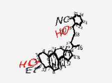 CC[C@]1(O)CC[C@@]2(C)C(=CC[C@H]3[C@@H]4CC[C@H](C(C)CC[C@H](O)c5ccccc5C#N)[C@@]4(C)CC[C@@H]32)C1